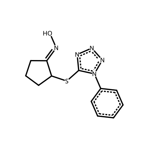 ON=C1CCCC1Sc1nnnn1-c1ccccc1